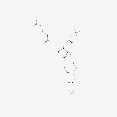 CC(C)(C)OC(=O)NC1CCN([C@@H]2O[C@H](COC(=O)CCCC(=O)O)C(OC(=O)OC(C)(C)C)C2(F)F)C(O)N1